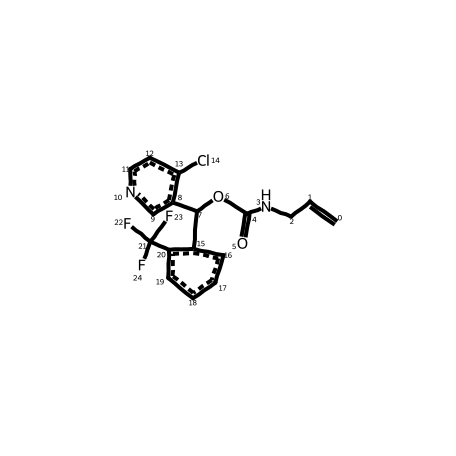 C=CCNC(=O)OC(c1cnccc1Cl)c1ccccc1C(F)(F)F